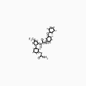 NC(=O)Cc1cccc(-n2nc(C(F)(F)F)cc2NC(=O)Nc2cccc(Oc3cccnc3)c2)c1